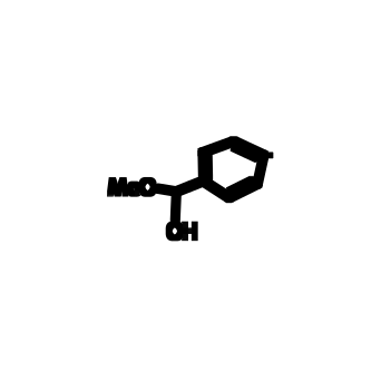 COC(O)c1cc[c]cc1